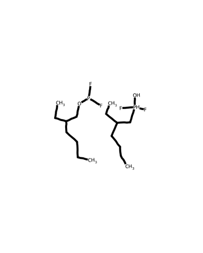 CCCCC(CC)COP(F)F.CCCCC(CC)C[PH](O)(F)F